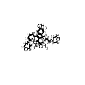 Cc1ccc(C2(I)C(=Cc3cccc(N4CCOCC4)n3)C(=O)C(C)(C)CN2CCN2CCOCC2)cc1